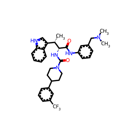 C[C@@H](c1c[nH]c2ccccc12)[C@@H](NC(=O)N1CCC(c2cccc(C(F)(F)F)c2)CC1)C(=O)Nc1cccc(CN(C)C)c1